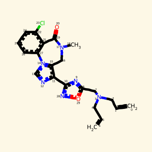 C=CCN(CC=C)Cc1nc(-c2ncn3c2CN(C)C(=O)c2c(Cl)cccc2-3)no1